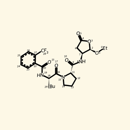 CCO[C@@H]1OC(=O)C[C@@H]1NC(=O)[C@@H]1CCCN1C(=O)[C@@H](NC(=O)c1ccccc1C(F)(F)F)C(C)(C)C